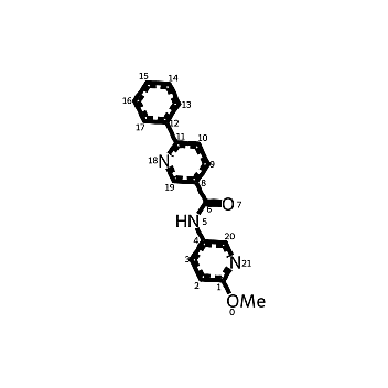 COc1ccc(NC(=O)c2ccc(-c3ccccc3)nc2)cn1